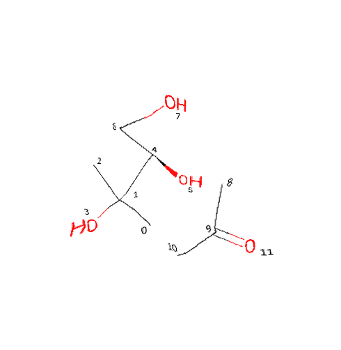 CC(C)(O)[C@H](O)CO.CC(C)=O